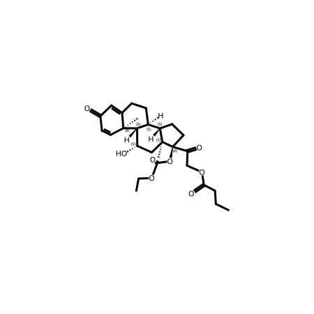 CCCC(=O)OCC(=O)[C@@]1(OC(=O)OCC)CC[C@H]2[C@@H]3CCC4=CC(=O)C=C[C@]4(C)[C@H]3[C@@H](O)C[C@@]21C